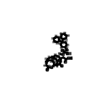 O=C(O)CN1CC(=O)C[C@@]23CC(=O)CN(CCN(CC(=O)C2)C[C@@H]1COP(=O)(O)OC1CCC(c2ccccc2)(c2ccccc2)CC1)CC(=O)O3